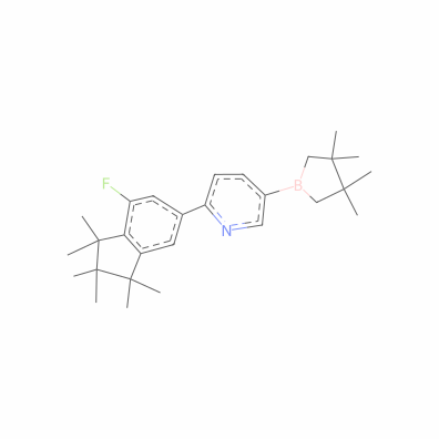 CC1(C)CB(c2ccc(-c3cc(F)c4c(c3)C(C)(C)C(C)(C)C4(C)C)nc2)CC1(C)C